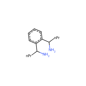 CCCC(N)c1ccccc1C(N)CCC